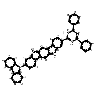 c1ccc(C2=NC(c3ccccc3)NC(c3ccc4c(c3)oc3cc5c(cc34)sc3cc(-n4c6ccccc6c6ccccc64)ccc35)=N2)cc1